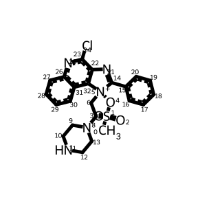 CS(=O)(=O)O[N+]1(CCN2CCNCC2)C(c2ccccc2)=Nc2c(Cl)nc3ccccc3c21